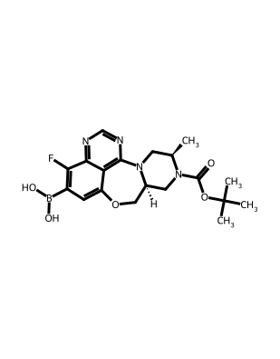 C[C@@H]1CN2c3ncnc4c(F)c(B(O)O)cc(c34)OC[C@@H]2CN1C(=O)OC(C)(C)C